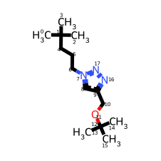 CC(C)(C)CCCn1cc(COC(C)(C)C)nn1